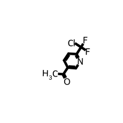 CC(=O)c1ccc(C(F)(F)Cl)nc1